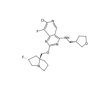 Fc1c(Cl)ncc2c(NC[C@H]3CCOC3)nc(OC[C@@]34CCCN3C[C@H](F)C4)nc12